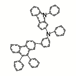 c1ccc(-c2c(-c3ccccc3)c3cc(-c4cccc(N(c5ccccc5)c5ccc6c7ccccc7n(-c7ccccc7)c6c5)c4)ccc3c3ccccc23)cc1